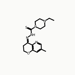 CCN1CCN(C(=S)N/N=C2/CCOc3cc(C)cnc32)CC1